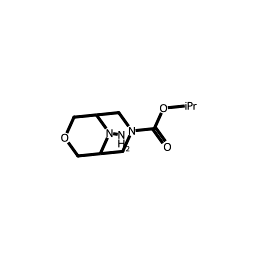 CC(C)OC(=O)N1CC2COCC(C1)N2N